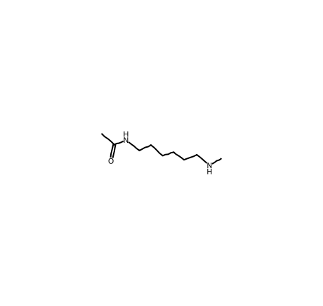 CNCCCCCCNC(C)=O